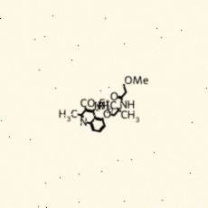 CCOC(=O)c1c(C)nc2cccc(OCC(C)(C)NC(=O)CCOC)c2c1N